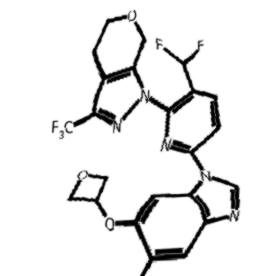 FC(F)c1ccc(-n2cnc3cc(Br)c(OC4COC4)cc32)nc1-n1nc(C(F)(F)F)c2c1COCC2